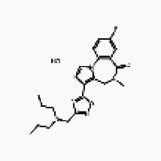 CCCN(CCC)Cc1noc(-c2ncn3c2CN(C)C(=O)c2cc(F)ccc2-3)n1.Cl